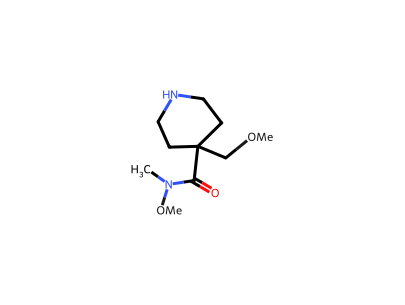 COCC1(C(=O)N(C)OC)CCNCC1